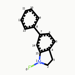 FN1CCc2ccc(-c3ccccc3)cc21